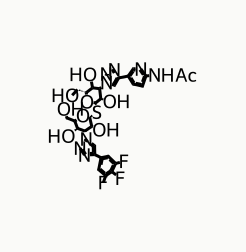 CC(=O)Nc1ccc(-c2cn(C3C(O)[C@@H](CO)O[C@@H](S[C@@H]4OC(CO)[C@H](O)C(n5cc(-c6cc(F)c(F)c(F)c6)nn5)C4O)[C@@H]3O)nn2)cn1